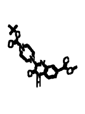 COC(=O)c1ccc2[nH]c(=O)c(N3CCN(C(=O)OC(C)(C)C)CC3)nc2c1